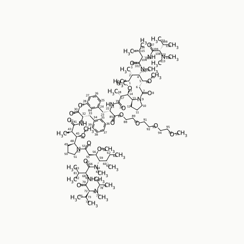 CC[C@H](C)[C@@H]([C@@H](CC(=O)N1CCC[C@H]1[C@H](OC)[C@@H](C)C(=O)N[C@@H](Cc1cccc(OC(=O)[C@H](Cc2ccccc2)NC(=O)[C@H](C)[C@@H](OC)[C@@H]2CCCN2C(=O)C[C@@H](OC)[C@H]([C@@H](C)CC)N(C)C(=O)[C@@H](NC(=O)[C@H](C(C)C)N(C)C(C)C)C(C)C)c1)C(=O)OCCOCCOCCOC)OC)N(C)C(=O)[C@@H](NC(=O)[C@H](C(C)C)N(C)C)C(C)C